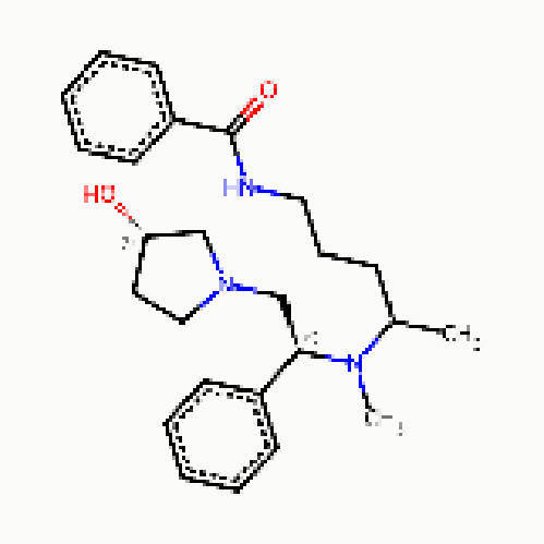 CC(CCCNC(=O)c1ccccc1)N(C)[C@H](CN1CC[C@H](O)C1)c1ccccc1